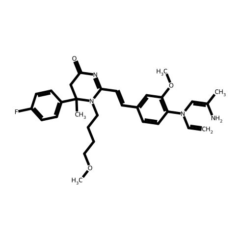 C=CN(/C=C(/C)N)c1ccc(/C=C/C2=NC(=O)CC(C)(c3ccc(F)cc3)N2CCCCOC)cc1OC